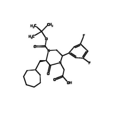 CC(C)(C)OC(=O)N1CC(c2cc(F)cc(F)c2)N(CC(=O)O)C(=O)[C@H]1CC1CCCCCC1